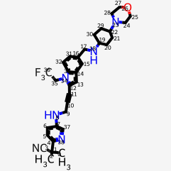 CC(C)(C#N)c1ccc(NCC#Cc2cc3cc(CNC4CCC(N5CCOCC5)CC4)ccc3n2CC(F)(F)F)cn1